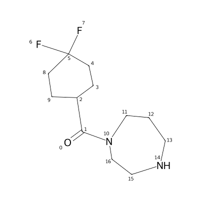 O=C(C1CCC(F)(F)CC1)N1CCCNCC1